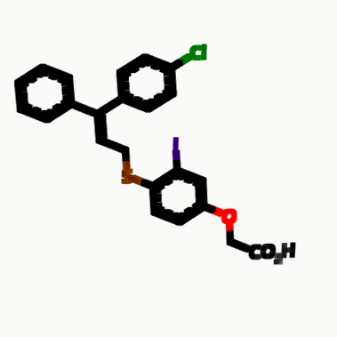 O=C(O)COc1ccc(SC/C=C(/c2ccccc2)c2ccc(Cl)cc2)c(I)c1